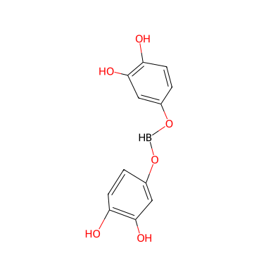 Oc1ccc(OBOc2ccc(O)c(O)c2)cc1O